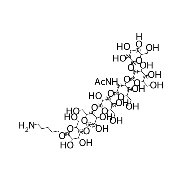 CC(=O)N[C@H]1C(O[C@@H]2OC(CO)[C@H](O)C(O)[C@@H]2O[C@@H]2OC(CO)[C@@H](O)C(O)[C@@H]2O)[C@@H](O)C(CO)O[C@H]1O[C@@H]1C(O)[C@@H](O[C@H]2C(CO)O[C@@H](O[C@@H]3C(CO)O[C@@H](OCCCCCN)C(O)C3O)[C@@H](O)C2O)OC(CO)[C@@H]1O